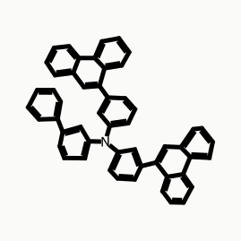 c1ccc(-c2cccc(N(c3cccc(-c4cc5ccccc5c5ccccc45)c3)c3cccc(-c4cc5ccccc5c5ccccc45)c3)c2)cc1